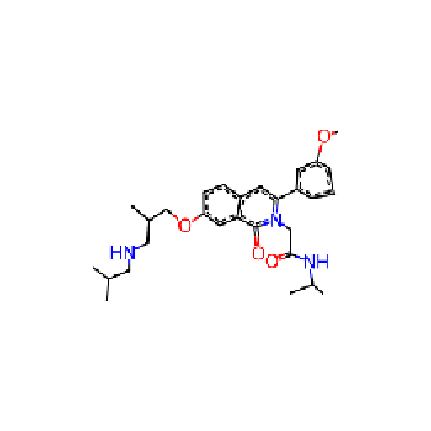 COc1cccc(-c2cc3ccc(OCC(C)CNCC(C)C)cc3c(=O)n2CC(=O)NC(C)C)c1